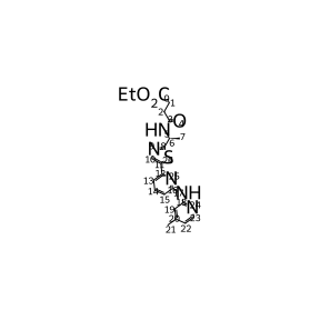 CCOC(=O)CCC(=O)N[C@@H](C)c1ncc(-c2cccc(Nc3cc(C)ccn3)n2)s1